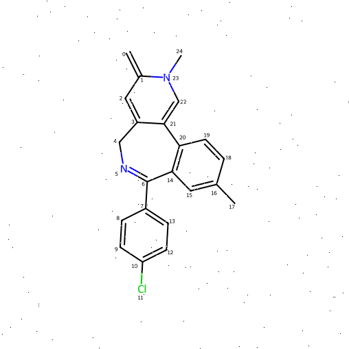 C=C1C=C2CN=C(c3ccc(Cl)cc3)c3cc(C)ccc3C2=CN1C